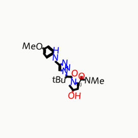 CNC(=O)[C@H]1CC(O)CN1C(=O)C(n1cc(CNc2ccc(OC)cc2)nn1)C(C)(C)C